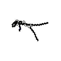 CC/C=C\CC1C(CC(=O)OCC(COCCCCCCCCCCCCCC)OCCCCCCCCCCCCCC)CCC1OC(=O)C1(C)CCN(C)CC1